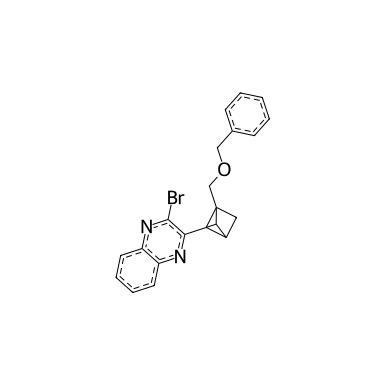 Brc1nc2ccccc2nc1C1C2CC1(COCc1ccccc1)C2